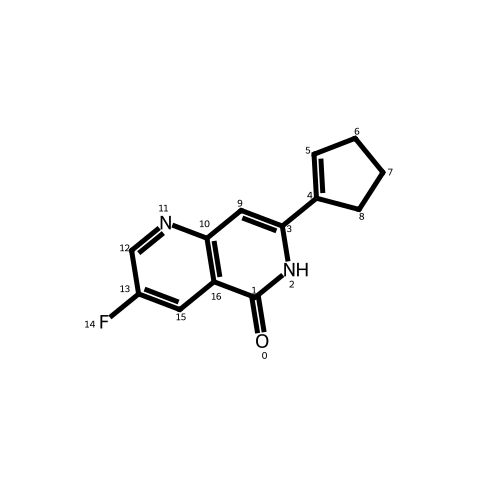 O=c1[nH]c(C2=CCCC2)cc2ncc(F)cc12